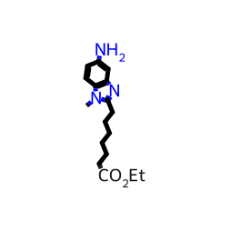 CCOC(=O)CCCCCCc1nc2cc(N)ccc2n1C